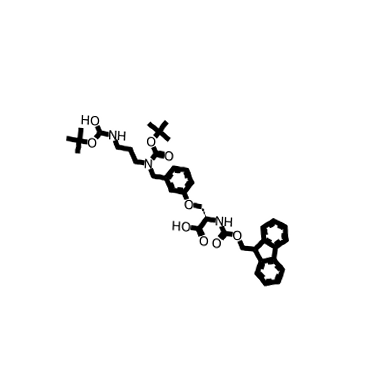 CC(C)(C)OC(=O)N(CCCNC(O)OC(C)(C)C)Cc1cccc(OC[C@H](NC(=O)OCC2c3ccccc3-c3ccccc32)C(=O)O)c1